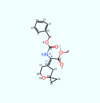 COC(=O)/C(NC(=O)OCc1ccccc1)=C1/CCOC2(CC2)C1